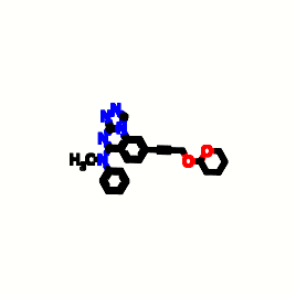 CN(c1ccccc1)c1nc2nncn2c2cc(C#CCOC3CCCCO3)ccc12